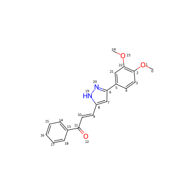 COc1ccc(-c2cc(C=CC(=O)c3ccccc3)[nH]n2)cc1OC